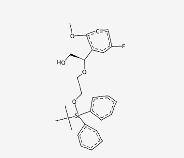 COc1ccc(F)cc1[C@H](CO)OCCO[Si](c1ccccc1)(c1ccccc1)C(C)(C)C